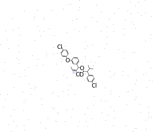 C/C=C(/Cl)C(OC(=O)C(c1ccc(Cl)cc1)C(C)C)c1cccc(Oc2ccc(Cl)cc2)c1